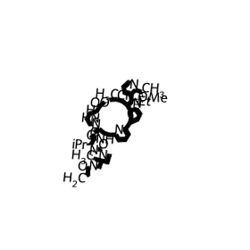 C=CC(=O)N1CC2(CCN2C(=O)N(C)[C@H](C(=O)N[C@H]2Cc3cccc(n3)-c3ccc4c(c3)c(c(-c3cccnc3[C@H](C)OC)n4CC)CC(C)(C)COC(=O)[C@@H]3CCCN(N3)C2=O)C(C)C)C1